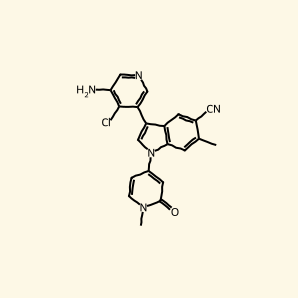 Cc1cc2c(cc1C#N)c(-c1cncc(N)c1Cl)cn2-c1ccn(C)c(=O)c1